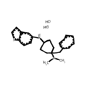 CN(C)C1(Cc2ccccc2)CCC(Nc2ccc3sccc3c2)CC1.Cl.Cl